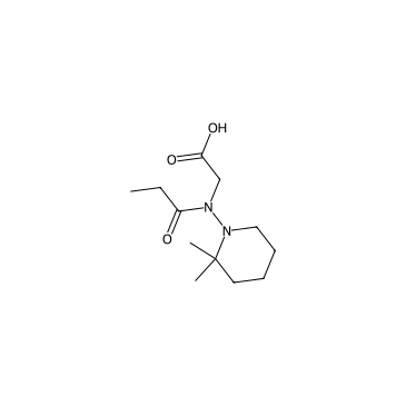 CCC(=O)N(CC(=O)O)N1CCCCC1(C)C